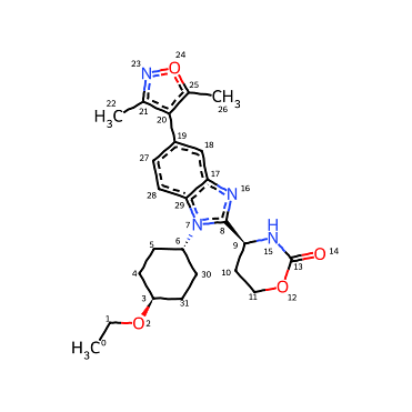 CCO[C@H]1CC[C@H](n2c([C@@H]3CCOC(=O)N3)nc3cc(-c4c(C)noc4C)ccc32)CC1